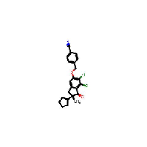 CC1(C2CCCC2)Cc2cc(OCc3ccc(C#N)cc3)c(Cl)c(Cl)c2C1=O